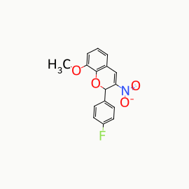 COc1cccc2c1OC(c1ccc(F)cc1)C([N+](=O)[O-])=C2